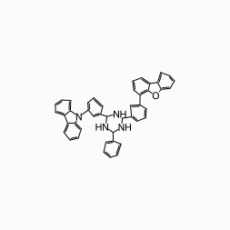 c1ccc(C2NC(c3cccc(-c4cccc5c4oc4ccccc45)c3)NC(c3cccc(-n4c5ccccc5c5ccccc54)c3)N2)cc1